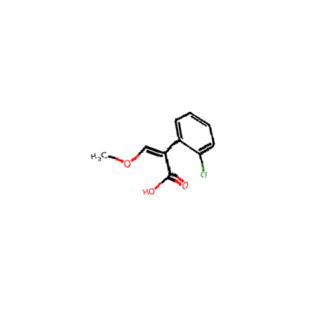 COC=C(C(=O)O)c1ccccc1Cl